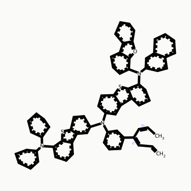 C=C/C=C(\C=C/C)c1cccc(N(c2ccc3sc4c(N(c5ccccc5)c5ccccc5)cccc4c3c2)c2ccc3sc4c(N(c5ccc6ccccc6c5)c5cccc6c5oc5ccccc56)cccc4c3c2)c1